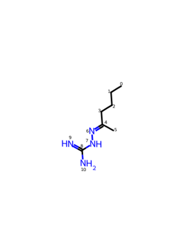 CCCC/C(C)=N/NC(=N)N